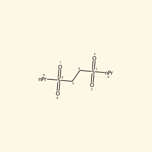 CCCS(=O)(=O)CCS(=O)(=O)CCC